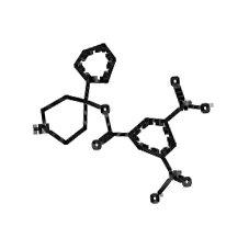 O=C(OC1(c2ccccc2)CCNCC1)c1cc([N+](=O)[O-])cc([N+](=O)[O-])c1